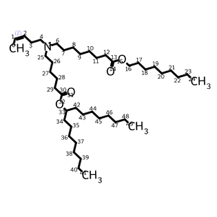 C/C=C\CCN(CCCCCCCC(=O)OCCCCCCCCC)CCCCCC(=O)OC(CCCCCCCC)CCCCCCCC